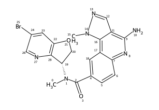 CN(C(=O)c1ccc2nc(N)c3cnn(C)c3c2c1)[C@H]1COc2cc(Br)cnc21